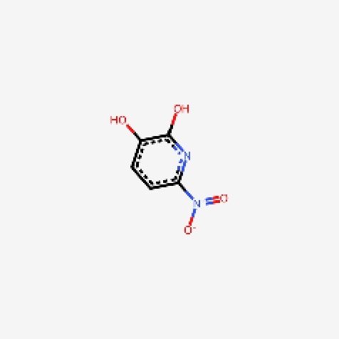 O=[N+]([O-])c1ccc(O)c(O)n1